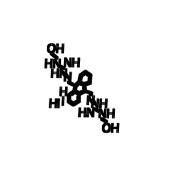 I.I.N=C(NCCO)NN=Cc1c2ccccc2c(C=NNC(=N)NCCO)c2ccccc12